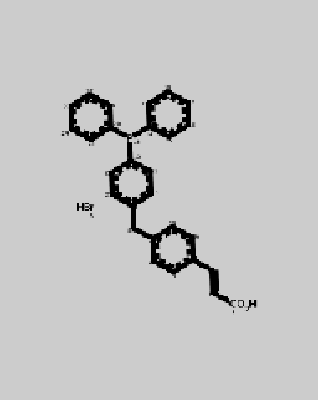 Br.O=C(O)/C=C/c1ccc(Cc2ccc(P(c3ccccc3)c3ccccc3)cc2)cc1